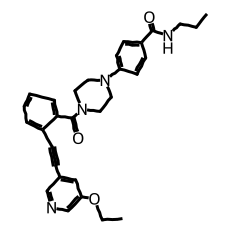 CCCNC(=O)c1ccc(N2CCN(C(=O)c3ccccc3C#Cc3cncc(OCC)c3)CC2)cc1